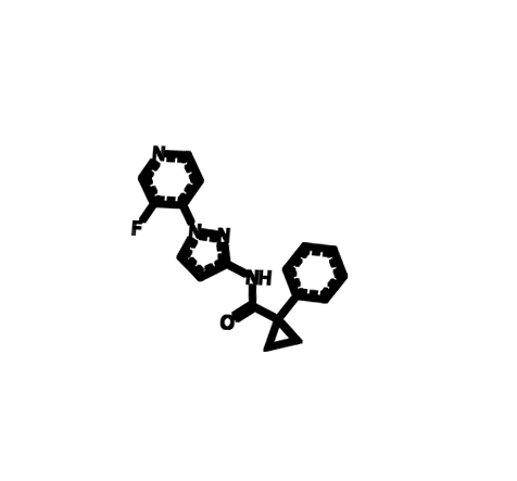 O=C(Nc1ccn(-c2ccncc2F)n1)C1(c2ccccc2)CC1